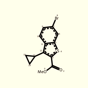 COC(=O)c1sc2cc(Br)ccc2c1C1CC1